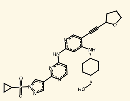 O=S(=O)(C1CC1)n1cc(-c2nccc(Nc3cc(N[C@H]4CC[C@@H](CO)CC4)c(C#CC4CCCO4)cn3)n2)cn1